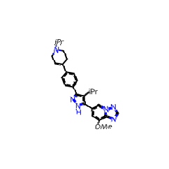 COc1cc(-c2[nH]nc(-c3ccc(C4CCN(C(C)C)CC4)cc3)c2C(C)C)cn2ncnc12